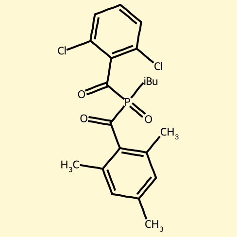 CCC(C)P(=O)(C(=O)c1c(C)cc(C)cc1C)C(=O)c1c(Cl)cccc1Cl